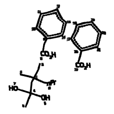 CCCC(C)(C)C(C)(O)O.O=C(O)c1ccccc1.O=C(O)c1ccccc1